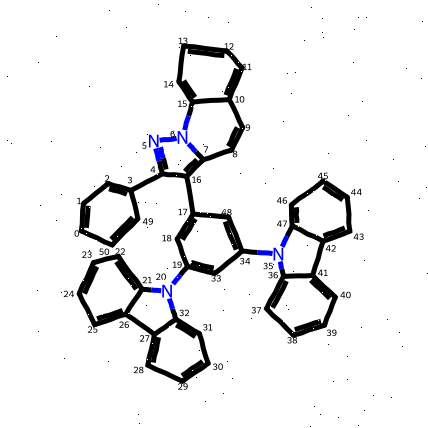 c1ccc(-c2nn3c(ccc4ccccc43)c2-c2cc(-n3c4ccccc4c4ccccc43)cc(-n3c4ccccc4c4ccccc43)c2)cc1